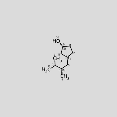 CC(C)[C@H](C)CN1CC[C@H](O)C1